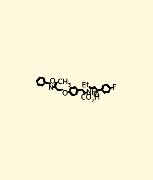 CCC(=CC(=O)c1ccc(F)cc1)N[C@@H](Cc1ccc(OCCc2nc(-c3ccccc3)oc2C)cc1)C(=O)O